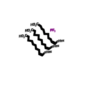 CCCCCC/C=C\CCCCCCCC(=O)O.CCCCCC/C=C\CCCCCCCC(=O)O.CCCCCC/C=C\CCCCCCCC(=O)O.P